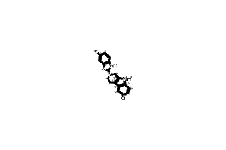 Fc1ccc2c(c1)SC(N1CCc3c([nH]c4ccc(Cl)cc34)C1)N2